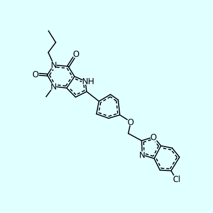 CCCn1c(=O)c2[nH]c(-c3ccc(OCc4nc5cc(Cl)ccc5o4)cc3)cc2n(C)c1=O